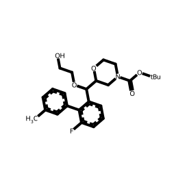 Cc1cccc(-c2c(F)cccc2C(OCCO)C2CN(C(=O)OC(C)(C)C)CCO2)c1